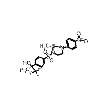 C[C@@H]1CN(c2ccc([N+](=O)[O-])cc2)CCN1S(=O)(=O)c1ccc([C@](C)(O)C(F)(F)F)cc1